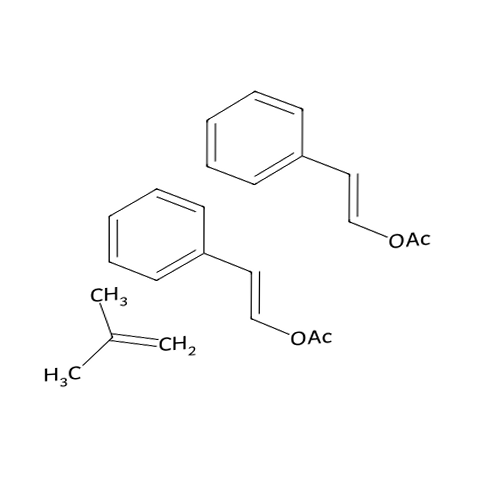 C=C(C)C.CC(=O)OC=Cc1ccccc1.CC(=O)OC=Cc1ccccc1